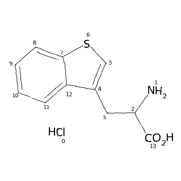 Cl.NC(Cc1csc2ccccc12)C(=O)O